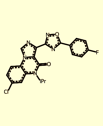 CC(C)n1c(=O)c2c(-c3noc(-c4ccc(F)cc4)n3)ncn2c2ccc(Cl)cc21